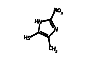 Cc1nc([N+](=O)[O-])[nH]c1S